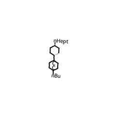 CCCCCCC[C@H]1CC[C@H](C23CCC(CCCC)(CC2)CC3)CC1